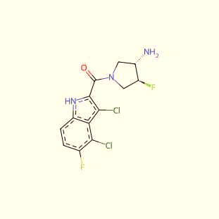 N[C@H]1CN(C(=O)c2[nH]c3ccc(F)c(Cl)c3c2Cl)C[C@@H]1F